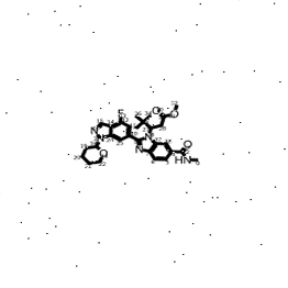 CNC(=O)c1ccc2nc(-c3cc(F)c4cnn(C5CCCCO5)c4c3)n(C(CC(=O)OC)C(C)(C)C)c2c1